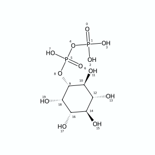 O=P(O)(O)OP(=O)(O)O[C@@H]1[C@@H](O)[C@H](O)[C@@H](O)[C@H](O)[C@@H]1O